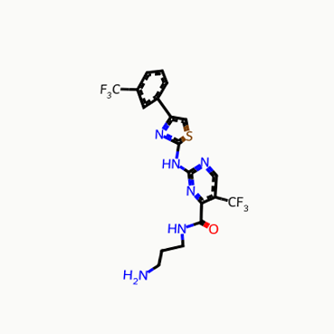 NCCCNC(=O)c1nc(Nc2nc(-c3cccc(C(F)(F)F)c3)cs2)ncc1C(F)(F)F